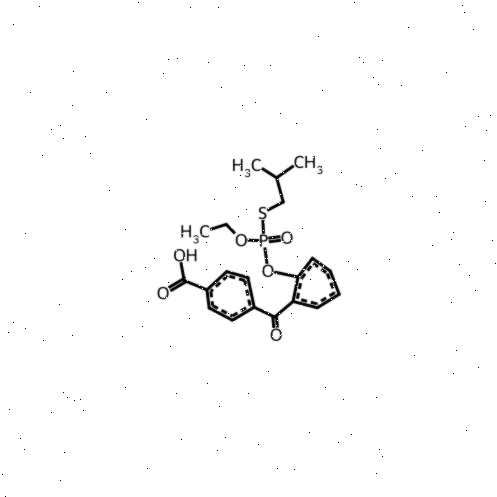 CCOP(=O)(Oc1ccccc1C(=O)c1ccc(C(=O)O)cc1)SCC(C)C